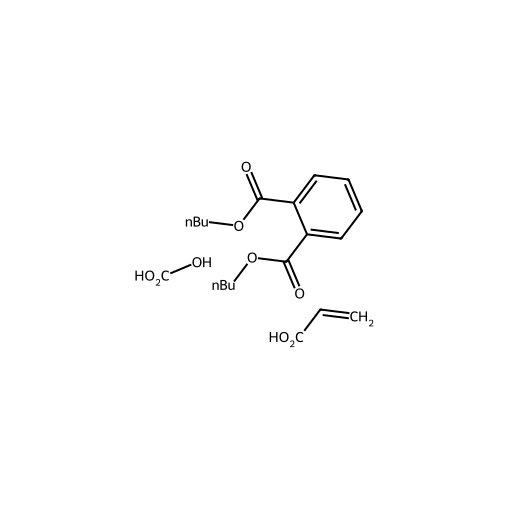 C=CC(=O)O.CCCCOC(=O)c1ccccc1C(=O)OCCCC.O=C(O)O